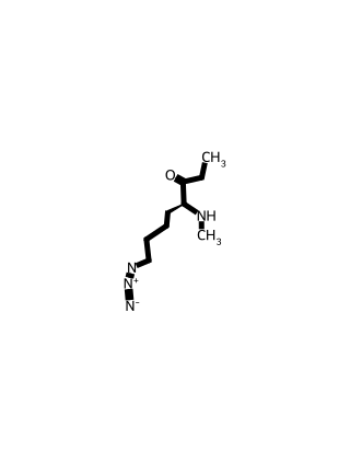 CCC(=O)[C@H](CCCCN=[N+]=[N-])NC